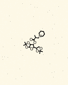 CC(CN1CCCCC1)C(=O)OC1C(C2COC(C)(C)O2)OC2OC(C)(C)OC21